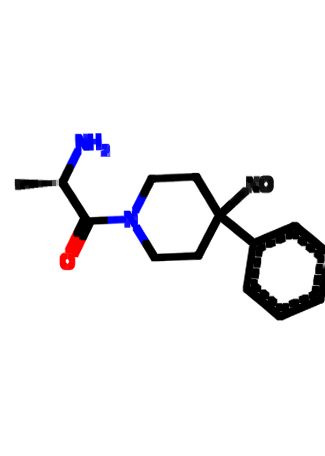 C[C@H](N)C(=O)N1CCC(N=O)(c2ccccc2)CC1